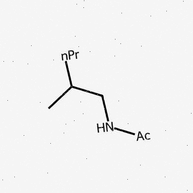 [CH2]C(=O)NCC(C)CCC